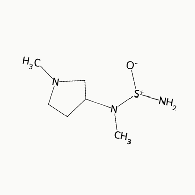 CN1CCC(N(C)[S+](N)[O-])C1